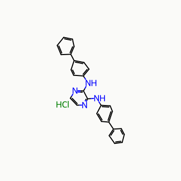 Cl.c1ccc(-c2ccc(Nc3nccnc3Nc3ccc(-c4ccccc4)cc3)cc2)cc1